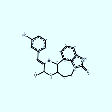 CC(C=Cc1cccc(O)c1)NC1CCn2c(=O)[nH]c3cccc(c32)C1O